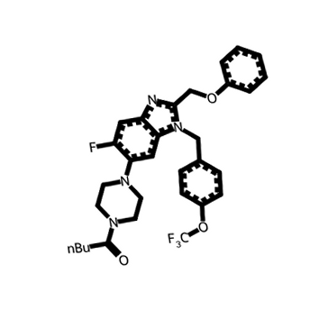 CCCCC(=O)N1CCN(c2cc3c(cc2F)nc(COc2ccccc2)n3Cc2ccc(OC(F)(F)F)cc2)CC1